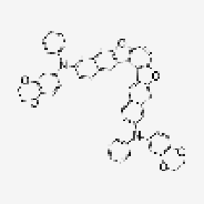 c1ccc(N(c2ccc3c(c2)OCCO3)c2ccc3cc4c(cc3c2)oc2ccc3oc5cc6cc(N(c7ccccc7)c7ccc8c(c7)OCCO8)ccc6cc5c3c24)cc1